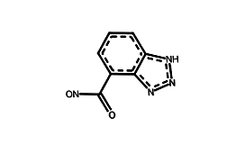 O=NC(=O)c1cccc2[nH]nnc12